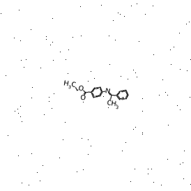 CCOC(=O)c1ccc(/N=C(\C)c2ccccc2)cc1